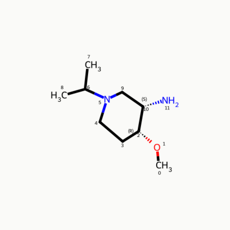 CO[C@@H]1CCN(C(C)C)C[C@@H]1N